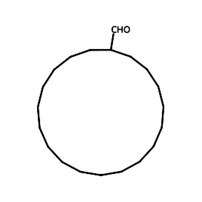 O=CC1CCCCCCCCCCCCCCCCCC1